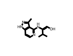 Cc1n[nH]c2ccnc(N/C(=C/O)C(C)C)c12